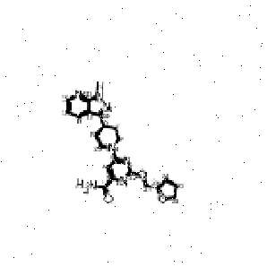 NC(=O)c1cc(N2CCC(c3n[nH]c4ncccc34)CC2)nc(OC[C@H]2CCCO2)n1